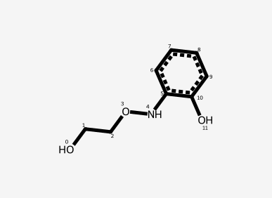 OCCONc1ccccc1O